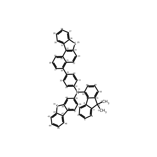 CC1(C)c2ccccc2-c2c(N(c3ccc(-c4cccc5c4ccc4sc6ccccc6c45)cc3)c3ccc4c(c3)sc3ccccc34)cccc21